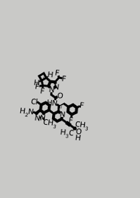 Cn1nc(N)c2c(Cl)ccc(-c3ccc(C#CC(C)(C)O)nc3[C@H](Cc3cc(F)cc(F)c3)NC(=O)Cn3nc(C(F)F)c4c3C(F)(F)[C@@H]3CC[C@H]43)c21